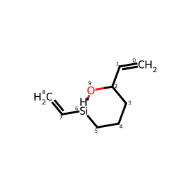 C=CC1CCC[SiH](C=C)O1